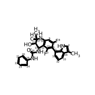 Cc1c[nH]c2c(-c3c(F)cc4c(c3F)[C@H](NC(=O)Nc3ccccc3)C(O)C(C)(C)N4)cccc12